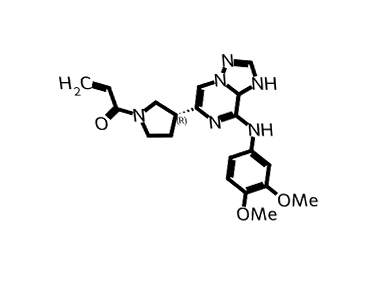 C=CC(=O)N1CC[C@@H](C2=CN3N=CNC3C(Nc3ccc(OC)c(OC)c3)=N2)C1